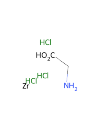 Cl.Cl.Cl.NCC(=O)O.[Zr]